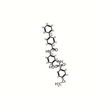 COc1ccc(S(=O)(=O)Nc2cc(NC(=O)c3ccc(-c4ccccc4)cc3)ccc2O)cc1